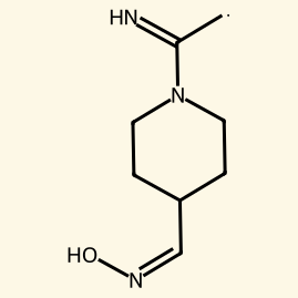 [CH2]C(=N)N1CCC(/C=N\O)CC1